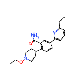 CCON1CCC(c2ccc(-c3c[c]cc(CC)n3)cc2C(N)=O)CC1